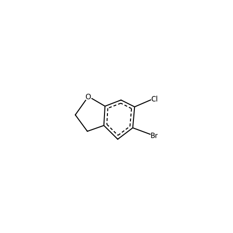 Clc1cc2c(cc1Br)CCO2